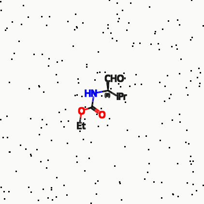 CCOC(=O)N[C@@H]([C]=O)C(C)C